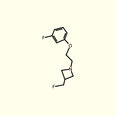 FCC1CN(CCOc2cccc(F)c2)C1